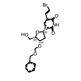 O=c1[nH]c(=O)n([C@H]2C[C@H](OCOCc3ccccc3)[C@@H](CO)O2)cc1C=CBr